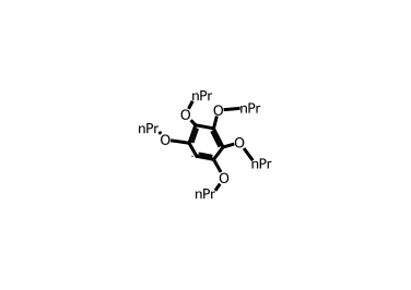 CCCOc1[c]c(OCCC)c(OCCC)c(OCCC)c1OCCC